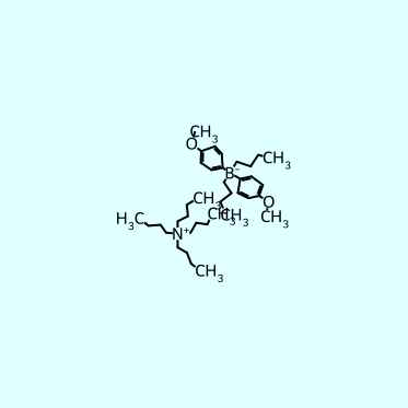 CCCC[B-](CCCC)(c1ccc(OC)cc1)c1ccc(OC)cc1.CCCC[N+](CCCC)(CCCC)CCCC